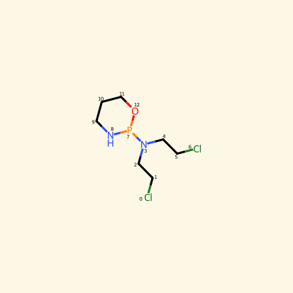 ClCCN(CCCl)P1NCCCO1